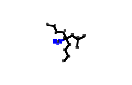 CCCCC(N)(CCCC)CC(C)C